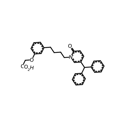 O=C(O)COc1cccc(CCCCn2cc(C(c3ccccc3)c3ccccc3)ccc2=O)c1